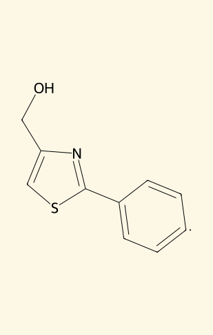 OCc1csc(-c2cc[c]cc2)n1